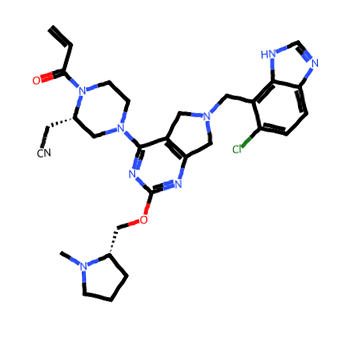 C=CC(=O)N1CCN(c2nc(OC[C@@H]3CCCN3C)nc3c2CN(Cc2c(Cl)ccc4nc[nH]c24)C3)C[C@@H]1CC#N